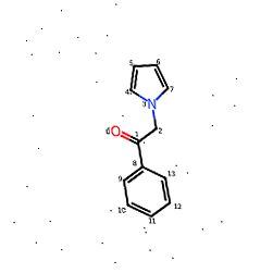 O=C(Cn1[c]ccc1)c1ccccc1